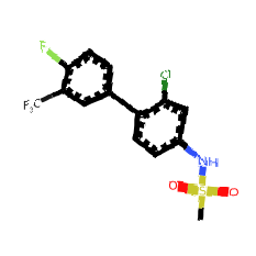 CS(=O)(=O)Nc1ccc(-c2ccc(F)c(C(F)(F)F)c2)c(Cl)c1